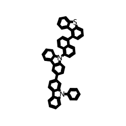 C1=CCC2C(=C1)c1cc(-c3ccc4c5ccccc5n(-c5ccccc5)c4c3)ccc1N2c1cccc2c(-c3cccc4sc5ccccc5c34)cccc12